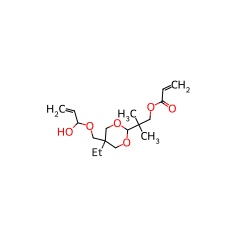 C=CC(=O)OCC(C)(C)C1OCC(CC)(COC(O)C=C)CO1